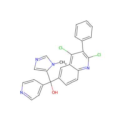 Cn1cncc1C(O)(c1ccncc1)c1ccc2nc(Cl)c(-c3ccccc3)c(Cl)c2c1